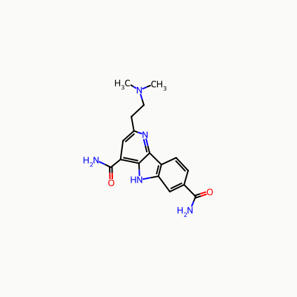 CN(C)CCc1cc(C(N)=O)c2[nH]c3cc(C(N)=O)ccc3c2n1